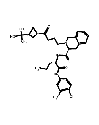 Cc1cc(NC(=O)[C@H](CCN)NC(=O)[C@@H]2Cc3ccccc3CN2CCCC(=O)N2CC(C(C)(C)O)C2)ccc1Cl